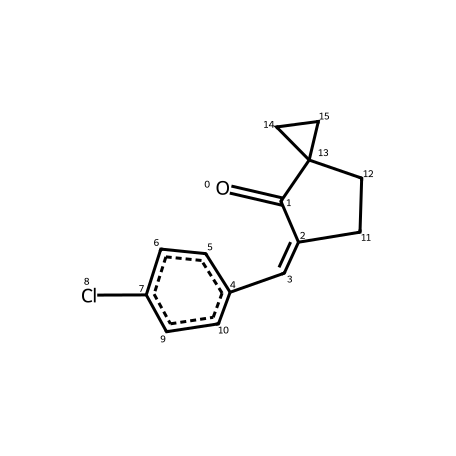 O=C1C(=Cc2ccc(Cl)cc2)CCC12CC2